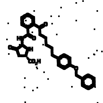 O=C(CCCCCc1ccc(OCc2ccccc2)cc1)c1ccccc1C(=O)NC1N[C@H](C(=O)O)CC1=O